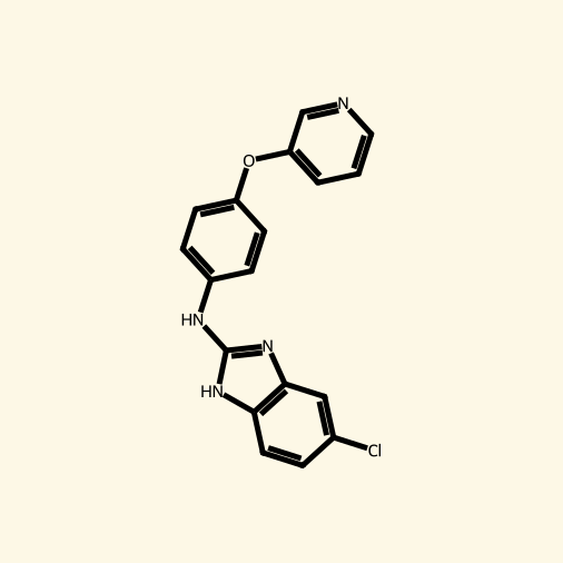 Clc1ccc2[nH]c(Nc3ccc(Oc4cccnc4)cc3)nc2c1